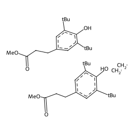 COC(=O)CCc1cc(C(C)(C)C)c(O)c(C(C)(C)C)c1.COC(=O)CCc1cc(C(C)(C)C)c(O)c(C(C)(C)C)c1.[CH2].[CH2]